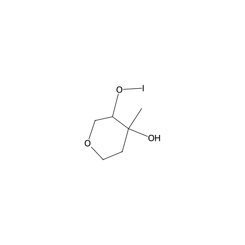 CC1(O)CCOCC1OI